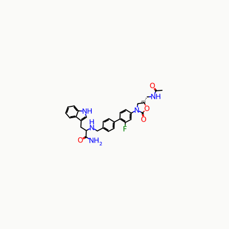 CC(=O)NC[C@H]1CN(c2ccc(-c3ccc(CNC(Cc4c[nH]c5ccccc45)C(N)=O)cc3)c(F)c2)C(=O)O1